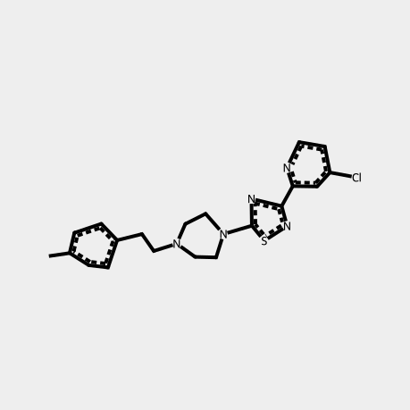 Cc1ccc(CCN2CCN(c3nc(-c4cc(Cl)ccn4)ns3)CC2)cc1